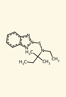 CCN(Sn1nc2ccccc2n1)C(C)(C)CC